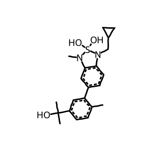 Cc1ccc(C(C)(C)O)cc1-c1ccc2c(c1)N(C)S(O)(O)N2CC1CC1